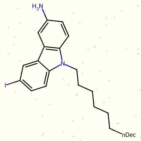 CCCCCCCCCCCCCCCCn1c2ccc(N)cc2c2cc(I)ccc21